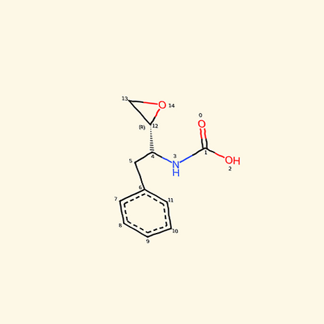 O=C(O)NC(Cc1ccccc1)[C@@H]1CO1